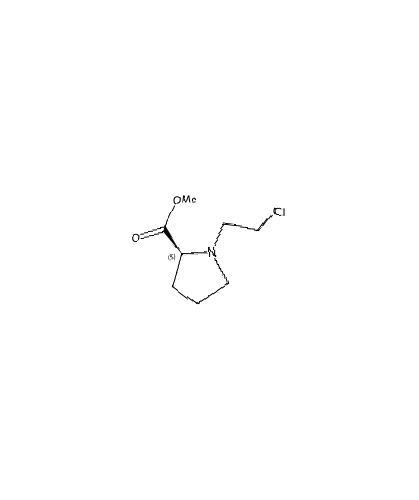 COC(=O)[C@@H]1CCCN1CCCl